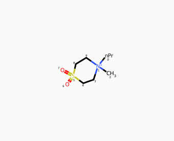 CCC[N+]1(C)CCS(=O)(=O)CC1